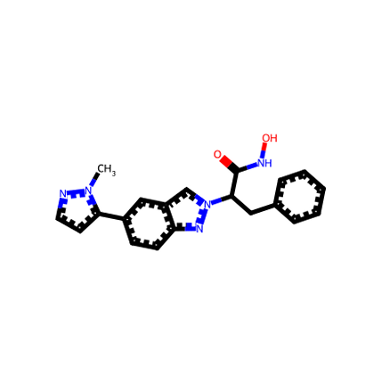 Cn1nccc1-c1ccc2nn(C(Cc3ccccc3)C(=O)NO)cc2c1